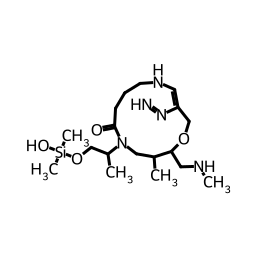 CNCC1OC/C(N=N)=C/NCCCC(=O)N(C(C)CO[Si](C)(C)O)CC1C